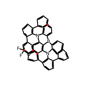 FC(F)(F)Oc1cc2c3c(c1)N(c1c(-c4ccccc4)cccc1-c1ccccc1)c1ccccc1B3c1ccccc1N2c1c(-c2ccccc2)cccc1-c1ccccc1